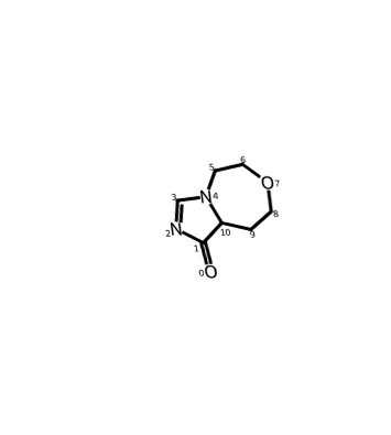 O=C1N=CN2CCOCCC12